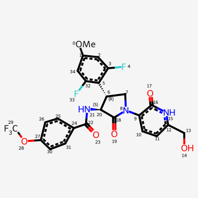 COc1cc(F)c([C@@H]2CN(c3ccc(CO)[nH]c3=O)C(=O)[C@H]2NC(=O)c2ccc(OC(F)(F)F)cc2)c(F)c1